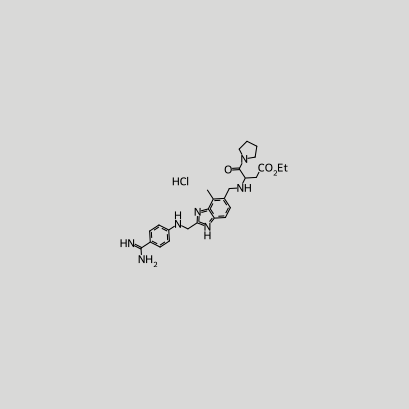 CCOC(=O)CC(NCc1ccc2[nH]c(CNc3ccc(C(=N)N)cc3)nc2c1C)C(=O)N1CCCC1.Cl